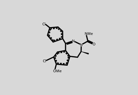 CNC(=O)N1N=C(c2ccc(Cl)cc2)c2cc(Cl)c(OC)cc2C[C@@H]1C